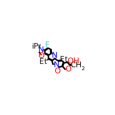 C=C1OCc2c(cc3n(c2=O)Cc2c-3nc3cc(F)c4c(c3c2CC)OCN4C(C)C)[C@@]1(O)CC